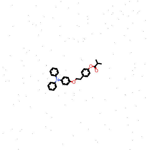 CC(C)C(=O)Oc1ccc(CCOc2ccc(N(c3ccccc3)c3ccccc3)cc2)cc1